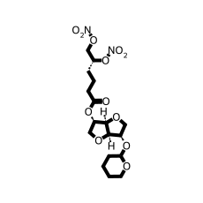 O=C(CCC[C@H](CO[N+](=O)[O-])O[N+](=O)[O-])O[C@H]1CO[C@H]2[C@@H]1OC[C@@H]2OC1CCCCO1